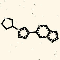 c1cc2cnc(-c3cnn(C4CCOC4)c3)cn2n1